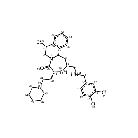 CC[C@H](CN1CC[C@@H](CNCc2ccc(Cl)c(Cl)c2)N[C@@H](CCN2CCCCC2)C1=O)c1ccccc1